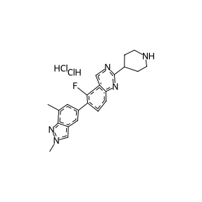 Cc1cc(-c2ccc3nc(C4CCNCC4)ncc3c2F)cc2cn(C)nc12.Cl.Cl